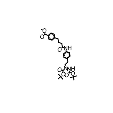 COC(=O)c1ccc(CCCC(=O)Nc2ccc(CCN(NC(=O)OC(C)(C)C)C(=O)OC(C)(C)C)cc2)cc1